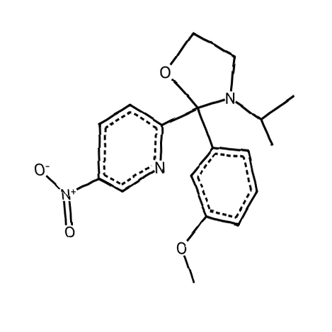 COc1cccc(C2(c3ccc([N+](=O)[O-])cn3)OCCN2C(C)C)c1